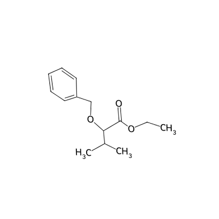 CCOC(=O)C(OCc1ccccc1)C(C)C